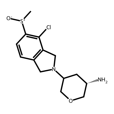 C[S+]([O-])c1ccc2c(c1Cl)CN(C1COC[C@@H](N)C1)C2